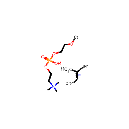 CC(C)/C(=C/C(=O)[O-])C(=O)O.CCOCCOP(=O)(O)OCC[N+](C)(C)C